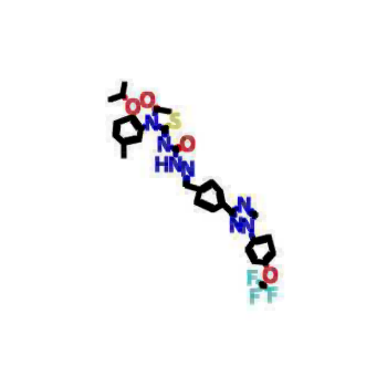 Cc1ccc(OC(C)C)c(N2C(=O)CS/C2=N\C(=O)N/N=C/c2ccc(-c3ncn(-c4ccc(OC(F)(F)F)cc4)n3)cc2)c1